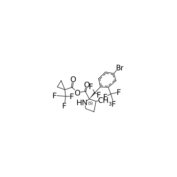 CC1CCN[C@@]1(C(=O)OC(=O)C1(C(F)(F)F)CC1)C(F)(F)c1ccc(Br)cc1C(F)(F)F